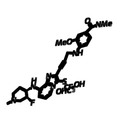 CNC(=O)c1ccc(NCC#Cc2nc3c(N[C@@H]4CCN(C)C[C@@H]4F)cccn3c2SC(F)(F)F)c(OC)c1.O=CO